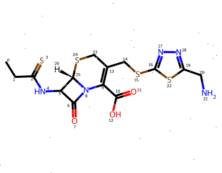 CCC(=S)NC1C(=O)N2C(C(=O)O)=C(CSc3nnc(CN)s3)CS[C@@H]12